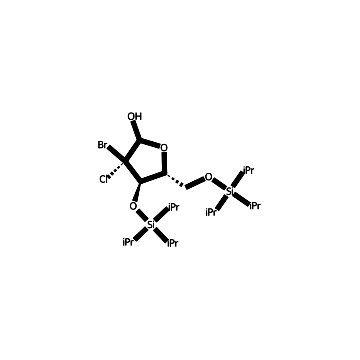 CC(C)[Si](OC[C@H]1OC(O)[C@](Cl)(Br)[C@@H]1O[Si](C(C)C)(C(C)C)C(C)C)(C(C)C)C(C)C